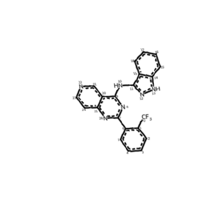 FC(F)(F)c1ccccc1-c1nc(Nc2n[nH]c3ccccc23)c2cnccc2n1